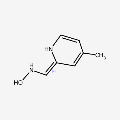 CC1=C/C(=C/NO)NC=C1